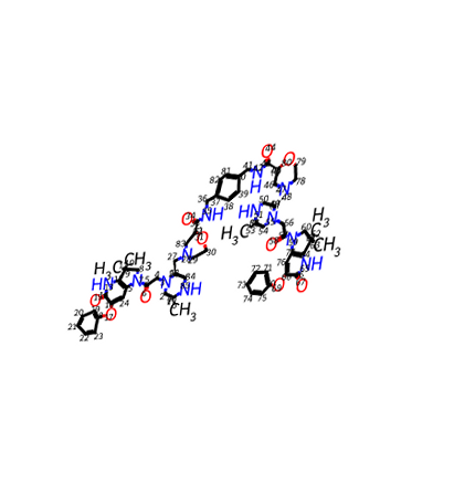 C[C@@H]1CN(CC(=O)N2CC(C)(C)c3[nH]c(=O)c(Oc4ccccc4)cc32)[C@@H](CN2CCO[C@H](C(=O)NCc3ccc(CNC(=O)[C@@H]4CN(C[C@H]5CN[C@H](C)CN5CC(=O)N5CC(C)(C)c6[nH]c(=O)c(Oc7ccccc7)cc65)CCO4)cc3)C2)CN1